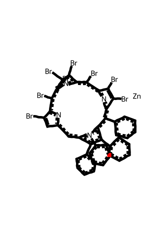 BrC1=Cc2cc3c(-c4ccccc4)c(-c4ccccc4)c(c(-c4ccccc4)c4nc(c(Br)c5c(Br)c(Br)c(c(Br)c1n2)n5Br)C(Br)=C4Br)n3-c1ccccc1.[Zn]